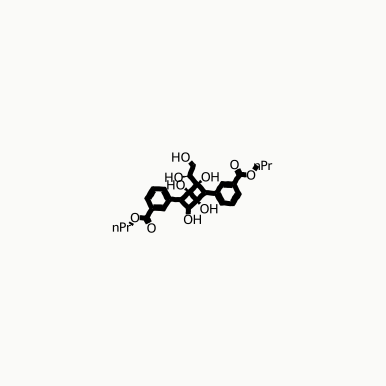 CCCOC(=O)c1cccc(C2C(O)[C@@]3(O)C(c4cccc(C(=O)OCCC)c4)[C@@](O)([C@H](O)CO)[C@@]23O)c1